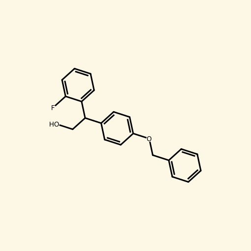 OCC(c1ccc(OCc2ccccc2)cc1)c1ccccc1F